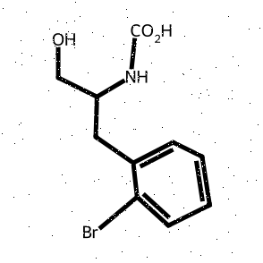 O=C(O)NC(CO)Cc1ccccc1Br